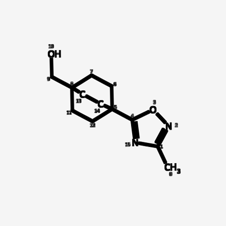 Cc1noc(C23CCC(CO)(CC2)CC3)n1